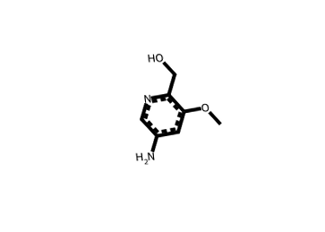 COc1cc(N)cnc1CO